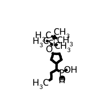 CCCC(C1CCC(O[Si](C)(C)C(C)(C)C)C1)[PH](=O)O